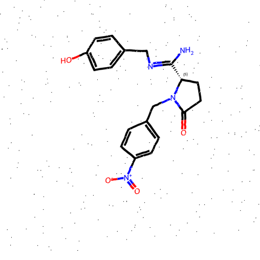 NC(=NCc1ccc(O)cc1)[C@@H]1CCC(=O)N1Cc1ccc([N+](=O)[O-])cc1